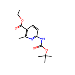 CCOC(=O)c1ccc(NC(=O)OC(C)(C)C)nc1C